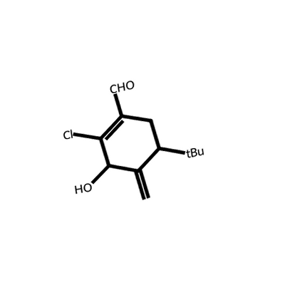 C=C1C(O)C(Cl)=C(C=O)CC1C(C)(C)C